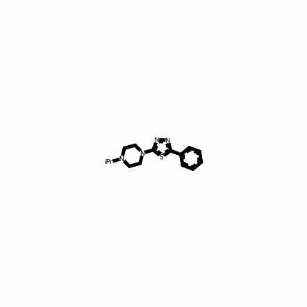 CC(C)N1CCN(c2nnc(-c3ccccc3)s2)CC1